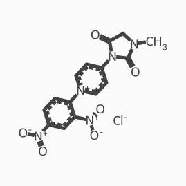 CN1CC(=O)N(c2cc[n+](-c3ccc([N+](=O)[O-])cc3[N+](=O)[O-])cc2)C1=O.[Cl-]